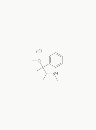 CNC(C)C(C)(OC)c1ccccc1.Cl